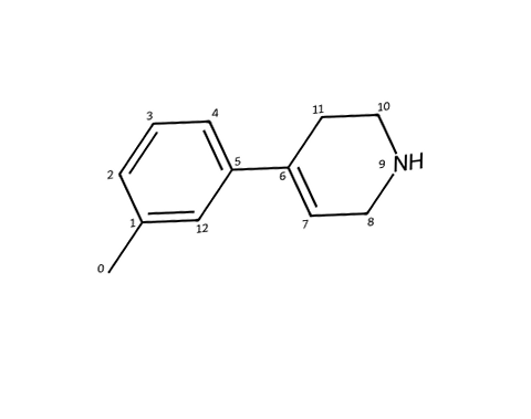 Cc1cccc(C2=CCNCC2)c1